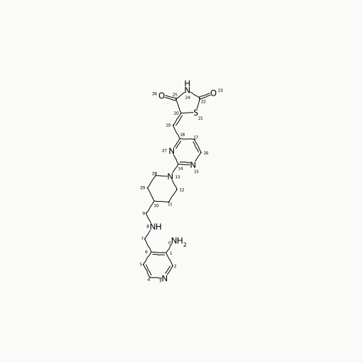 Nc1cnccc1CNCC1CCN(c2nccc(/C=C3\SC(=O)NC3=O)n2)CC1